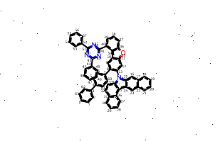 c1ccc(-c2ccc(-c3cc4c(cc3-n3c5cc6ccccc6cc5c5c6ccccc6ccc53)oc3cccc(-c5nc(-c6ccccc6)nc(-c6ccccc6)n5)c34)cc2)cc1